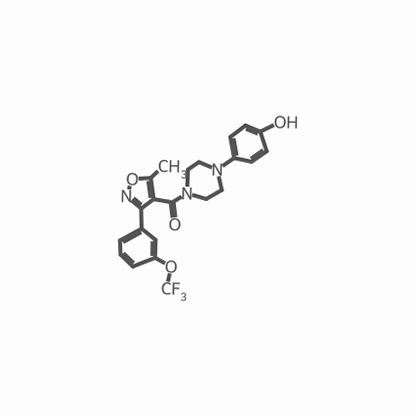 Cc1onc(-c2cccc(OC(F)(F)F)c2)c1C(=O)N1CCN(c2ccc(O)cc2)CC1